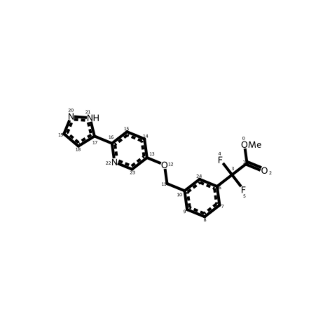 COC(=O)C(F)(F)c1cccc(COc2ccc(-c3ccn[nH]3)nc2)c1